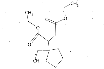 CCOC(=O)CC(C(=O)OCC)C1(CC)CCCC1